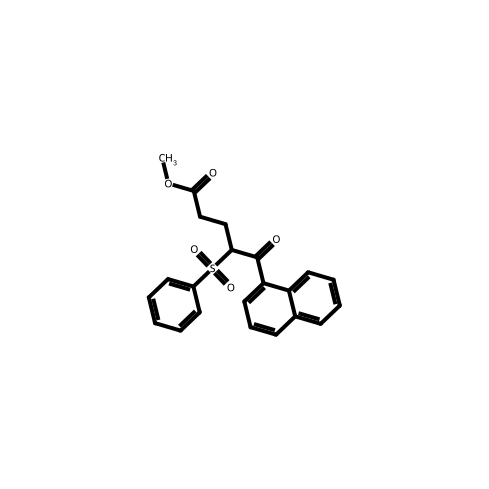 COC(=O)CCC(C(=O)c1cccc2ccccc12)S(=O)(=O)c1ccccc1